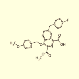 COC(=O)c1nc(C(=O)O)c2cc(Cc3ccc(F)cc3)cnc2c1OCc1ccc(OC)cc1